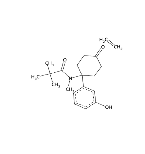 C=C.CN(C(=O)C(C)(C)C)C1(c2cccc(O)c2)CCC(=O)CC1